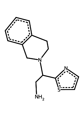 NCC(c1nccs1)N1CCc2ccccc2C1